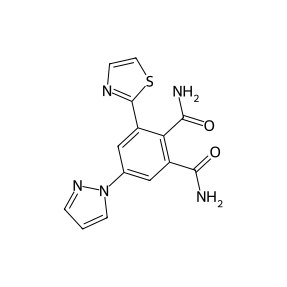 NC(=O)c1cc(-n2cccn2)cc(-c2nccs2)c1C(N)=O